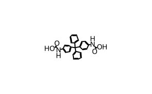 O=C(O)Nc1ccc(C(c2ccccc2)(c2ccccc2)c2ccc(NC(=O)O)cc2)cc1